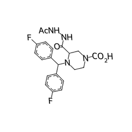 CC(=O)NNC(=O)C1CN(C(=O)O)CCN1C(c1ccc(F)cc1)c1ccc(F)cc1